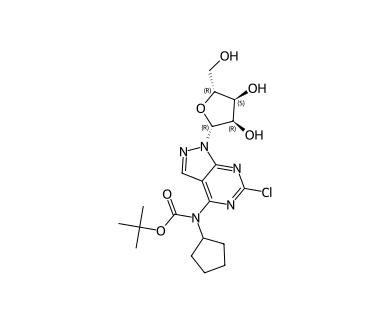 CC(C)(C)OC(=O)N(c1nc(Cl)nc2c1cnn2[C@@H]1O[C@H](CO)[C@@H](O)[C@H]1O)C1CCCC1